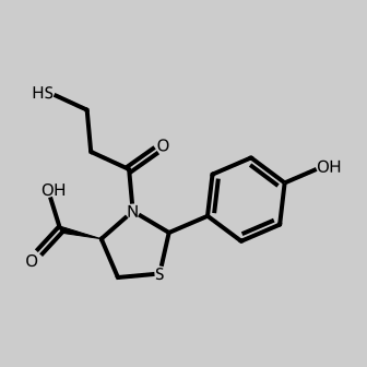 O=C(O)[C@@H]1CSC(c2ccc(O)cc2)N1C(=O)CCS